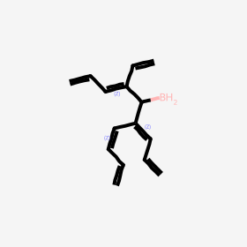 BC(/C(C=C)=C/C=C)C(/C=C\C=C)=C/C=C